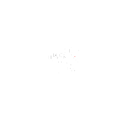 [CH3][Ti]([CH3])(=[SiH2])([O]C(=O)C(c1ccccc1)(c1ccccc1)c1ccccc1)([O]C(=O)C(c1ccccc1)(c1ccccc1)c1ccccc1)([C]1=CC=CC1)[C]1=CC=CC1